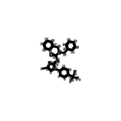 Cc1cn(-c2ccc(C(F)(F)F)cc2)c(=NC(=O)N(Cc2ccccc2)Cc2ccccc2)s1